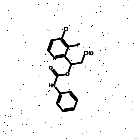 O=CCC(OC(=O)Nc1ccccc1)c1nccc(Cl)c1F